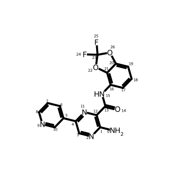 Nc1ncc(-c2cccnc2)nc1C(=O)Nc1cccc2c1OC(F)(F)O2